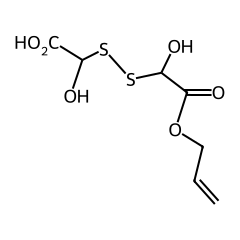 C=CCOC(=O)C(O)SSC(O)C(=O)O